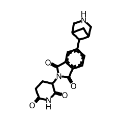 O=C1CCC(N2C(=O)c3ccc(C4C5CNCC4C5)cc3C2=O)C(=O)N1